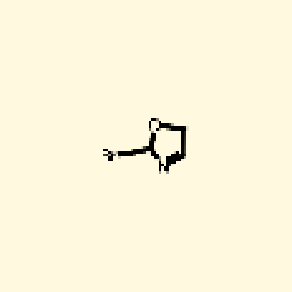 BrC1N=C[C]O1